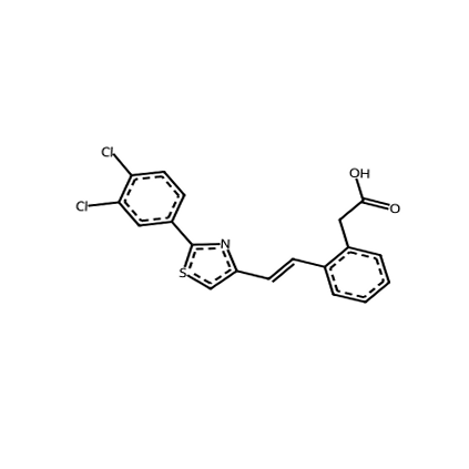 O=C(O)Cc1ccccc1/C=C/c1csc(-c2ccc(Cl)c(Cl)c2)n1